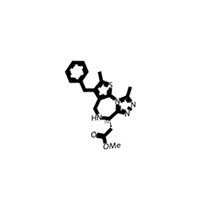 COC(=O)C[C@@H]1NCc2c(sc(C)c2Cc2ccccc2)-n2c(C)nnc21